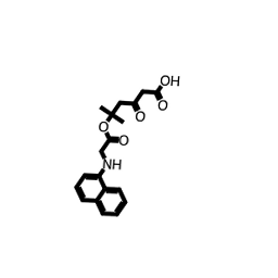 CC(C)(CC(=O)CC(=O)O)OC(=O)CNc1cccc2ccccc12